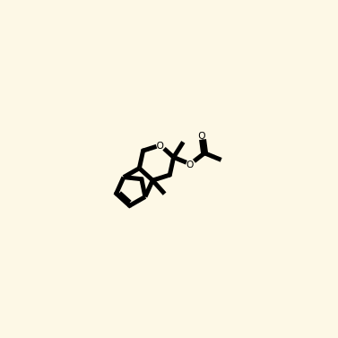 CC(=O)OC1(C)CC2(C)C3C=CC(C3)C2CO1